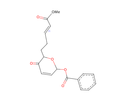 COC(=O)/C=C/CCC1OC(OC(=O)c2ccccc2)C=CC1=O